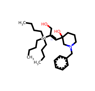 CCC[CH2][Sn]([CH2]CCC)([CH2]CCC)/[C](=C/C1(O)CCCN(Cc2ccccc2)C1)CO